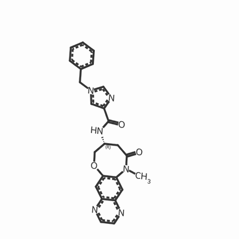 CN1C(=O)C[C@@H](NC(=O)c2cn(Cc3ccccc3)cn2)COc2cc3nccnc3cc21